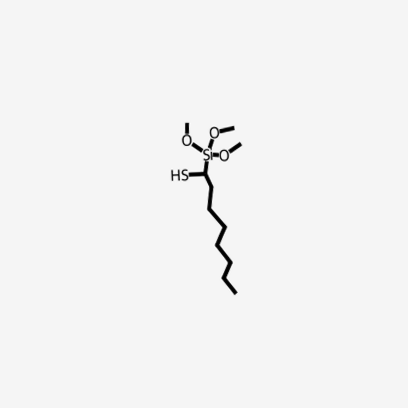 CCCCCCCC(S)[Si](OC)(OC)OC